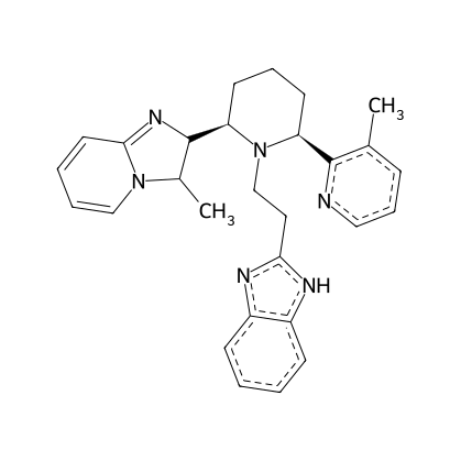 Cc1cccnc1[C@@H]1CCC[C@H](C2N=C3C=CC=CN3C2C)N1CCc1nc2ccccc2[nH]1